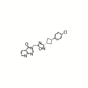 O=c1c2cccnc2ncn1Cc1nc([C@H]2C[C@H](c3ccc(Cl)cc3)C2)no1